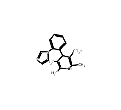 CC1=C(C(=O)O)C(c2ccccc2-n2ccnc2)C(C(=O)O)=C(C)N1